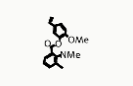 C=Cc1ccc(OC)c(OC(=O)c2cccc(C)c2NC)c1